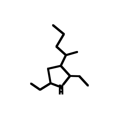 CCCC(C)C1CC(CC)NC1CC